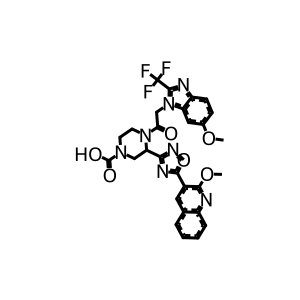 COc1ccc2nc(C(F)(F)F)n(CC(=O)N3CCN(C(=O)O)CC3c3noc(-c4cc5ccccc5nc4OC)n3)c2c1